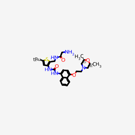 C[C@@H]1CN(CCOc2ccc(NC(=O)Nc3cc(C(C)(C)C)sc3CNC(=O)CN)c3ccccc23)C[C@H](C)O1